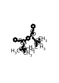 CCO[Si](CCCSC(CC(=O)OCc1ccccc1)c1ccc(C(CC(=O)OCc2ccccc2)SCCC[Si](OCC)(OCC)OCC)cc1)(OCC)OCC